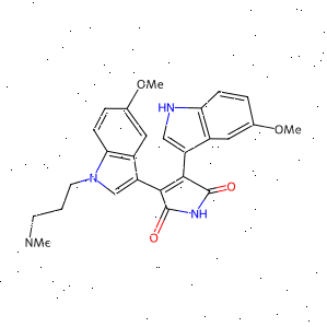 CNCCCn1cc(C2=C(c3c[nH]c4ccc(OC)cc34)C(=O)NC2=O)c2cc(OC)ccc21